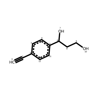 C#Cc1ccc(C(O)CCO)cc1